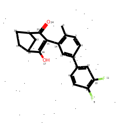 Cc1ccc(-c2ccc(F)c(F)c2)cc1C1=C(O)C2CCC(C2)C1=O